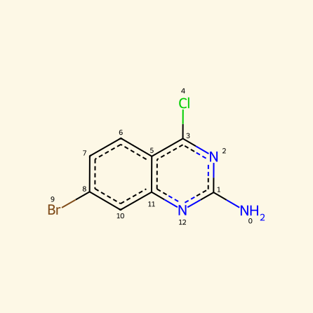 Nc1nc(Cl)c2ccc(Br)cc2n1